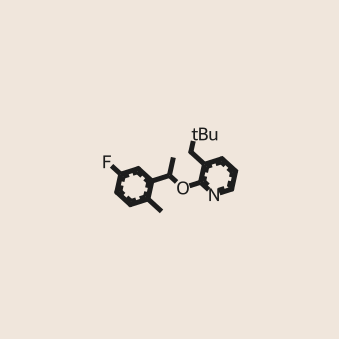 Cc1ccc(F)cc1C(C)Oc1ncccc1CC(C)(C)C